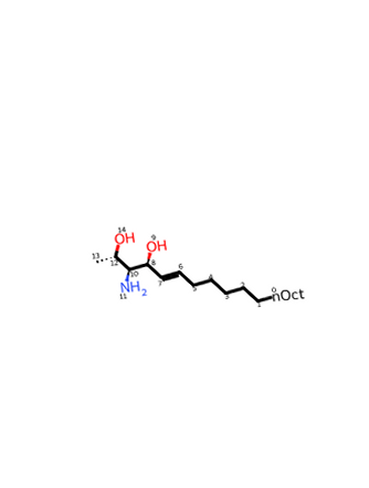 CCCCCCCCCCCCCC=C[C@H](O)[C@@H](N)[C@H](C)O